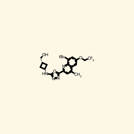 Cc1cc(-c2nnc(N[C@H]3C[C@@H](CO)C3)o2)nc2c(C(C)(C)C)cc(OCC(F)(F)F)cc12